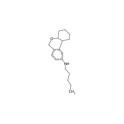 CCCCCNc1ccc2c(c1)C1CCCCC1OC2